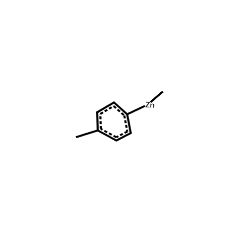 [CH3][Zn][c]1ccc(C)cc1